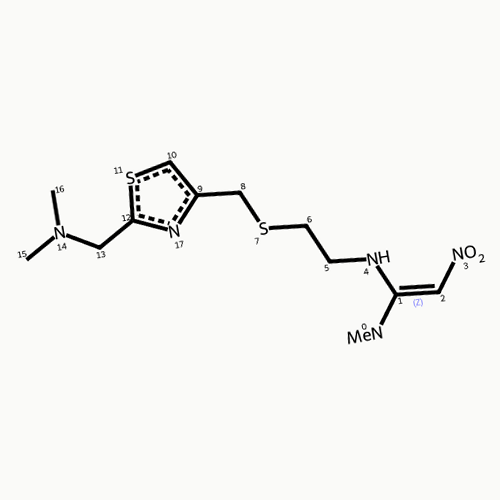 CN/C(=C/[N+](=O)[O-])NCCSCc1csc(CN(C)C)n1